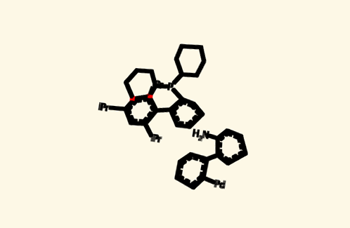 CC(C)c1cc(C(C)C)c(-c2ccccc2P(C2CCCCC2)C2CCCCC2)c(C(C)C)c1.Nc1ccccc1-c1cccc[c]1[Pd]